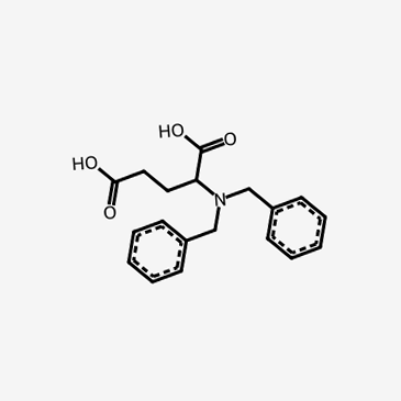 O=C(O)CCC(C(=O)O)N(Cc1ccccc1)Cc1ccccc1